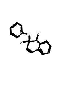 CC(=O)C1(Oc2ccccc2)C=Cc2ccccc2C1=O